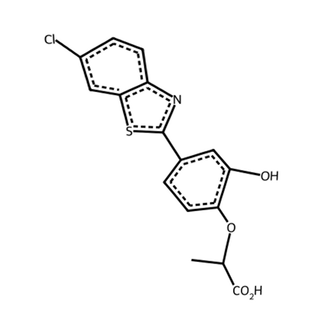 CC(Oc1ccc(-c2nc3ccc(Cl)cc3s2)cc1O)C(=O)O